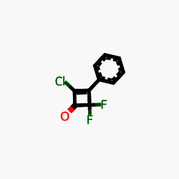 O=C1C(Cl)=C(c2ccccc2)C1(F)F